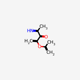 C=C(C)OC(=C)C(=O)C(C)=N